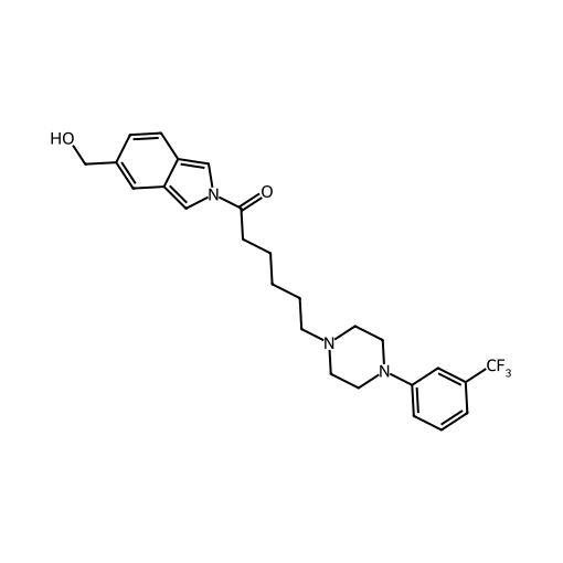 O=C(CCCCCN1CCN(c2cccc(C(F)(F)F)c2)CC1)n1cc2ccc(CO)cc2c1